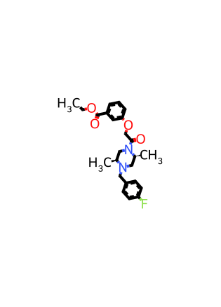 CCOC(=O)c1cccc(OCC(=O)N2C[C@H](C)N(Cc3ccc(F)cc3)C[C@H]2C)c1